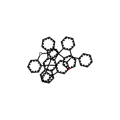 c1ccc(N(c2ccc3c(c2)C2(c4ccccc4Oc4ccccc42)c2ccccc2-3)c2ccccc2C2(c3ccccc3)c3ccccc3-c3cc4ccccc4cc32)cc1